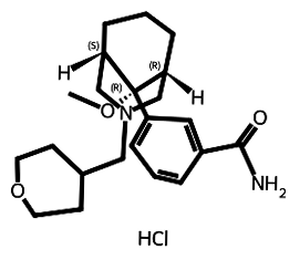 CO[C@@]1(c2cccc(C(N)=O)c2)[C@@H]2CCC[C@H]1CN(CC1CCOCC1)C2.Cl